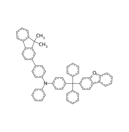 CC1(C)c2ccccc2-c2ccc(-c3ccc(N(c4ccccc4)c4ccc(C(c5ccccc5)(c5ccccc5)c5ccc6c(c5)oc5ccccc56)cc4)cc3)cc21